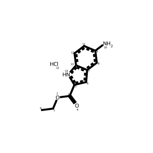 CCOC(=O)c1cc2cc(N)ccc2[nH]1.Cl